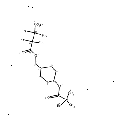 CCC(C)(C)C(=O)OC1CCC(COC(=O)C(F)(F)C(F)(F)C(=O)O)CC1